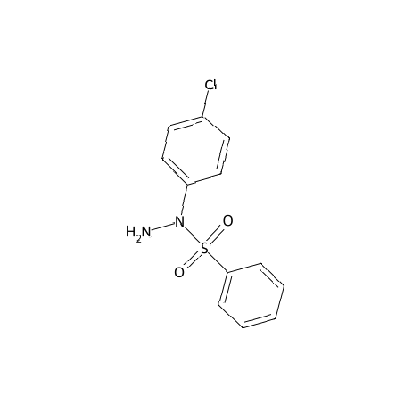 NN(c1ccc(Cl)cc1)S(=O)(=O)c1ccccc1